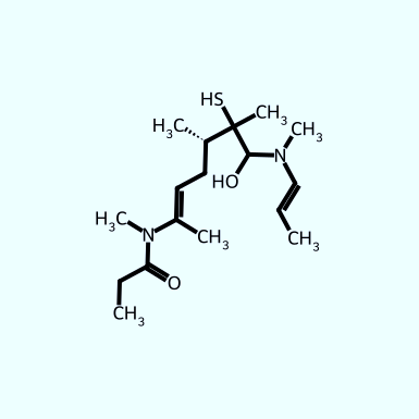 C/C=C/N(C)C(O)C(C)(S)[C@@H](C)C/C=C(\C)N(C)C(=O)CC